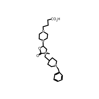 C[N+]1(CC2CCN(Cc3ccccc3)CC2)CC(N2CCN(CCCC(=O)O)CC2)OC1=O